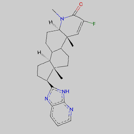 CN1C(=O)C(F)=C[C@]2(C)C3CC[C@]4(C)[C@@H](c5nc6cccnc6[nH]5)CC[C@H]4C3CC[C@@H]12